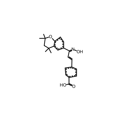 CC1(C)CC(C)(C)c2cc(C(/C=C/c3ccc(C(=O)O)cc3)=NO)ccc2O1